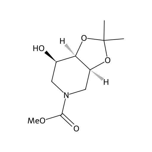 COC(=O)N1C[C@@H](O)[C@H]2OC(C)(C)O[C@H]2C1